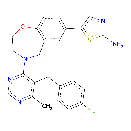 Cc1ncnc(N2CCOc3ccc(-c4cnc(N)s4)cc3C2)c1Cc1ccc(F)cc1